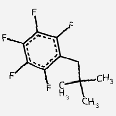 CC(C)(C)Cc1c(F)c(F)c(F)c(F)c1F